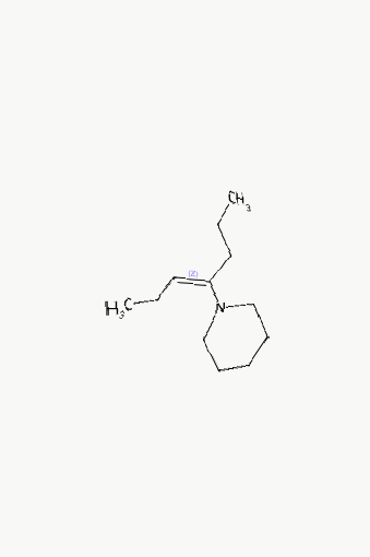 CC/C=C(/CCC)N1CCCCC1